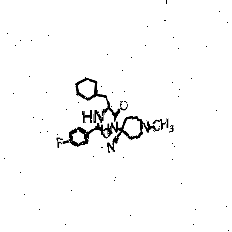 CN1CCC(C#N)(NC(=O)C(CC2CCCCC2)NC(=O)c2ccc(F)cc2)CC1